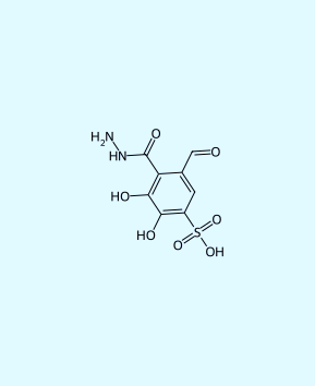 NNC(=O)c1c(C=O)cc(S(=O)(=O)O)c(O)c1O